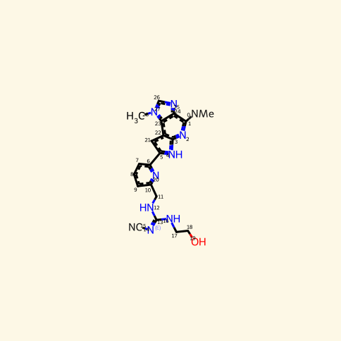 CNc1nc2[nH]c(-c3cccc(CN/C(=N\C#N)NCCO)n3)cc2c2c1ncn2C